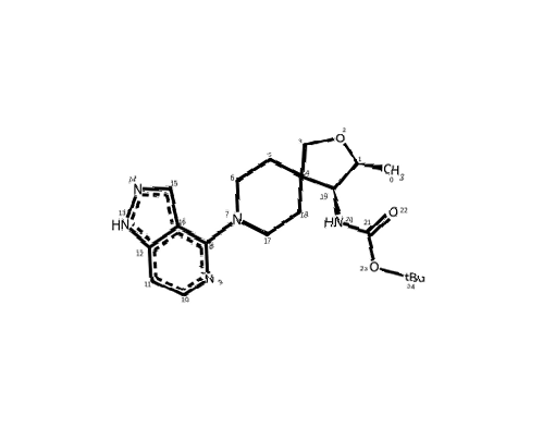 C[C@@H]1OCC2(CCN(c3nccc4[nH]ncc34)CC2)[C@@H]1NC(=O)OC(C)(C)C